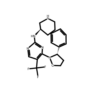 FC(F)(F)c1cnc(N[C@@H]2CCCNC2)nc1N1OCC[C@H]1c1ccccc1